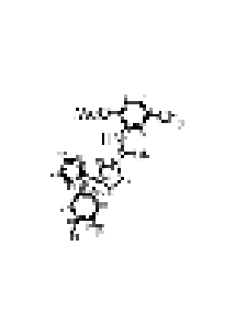 COc1ccc(C(F)(F)F)cc1NC(=O)N1CC[C@](c2ccc(C)c(F)c2)(c2nccs2)C1